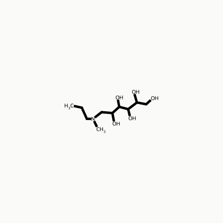 CCCN(C)CC(O)C(O)C(O)C(O)CO